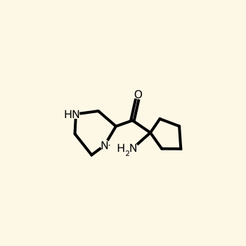 NC1(C(=O)C2CNCC[N]2)CCCC1